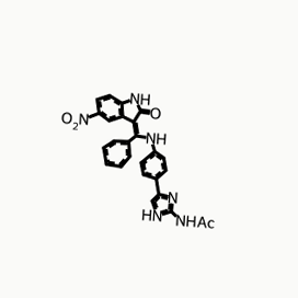 CC(=O)Nc1nc(-c2ccc(N/C(=C3\C(=O)Nc4ccc([N+](=O)[O-])cc43)c3ccccc3)cc2)c[nH]1